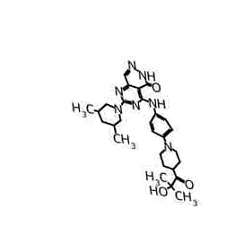 CC1CC(C)CN(c2nc(Nc3ccc(N4CCC(C(=O)C(C)(C)O)CC4)cc3)c3c(=O)[nH]ncc3n2)C1